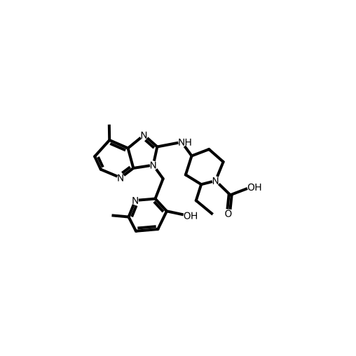 CCC1CC(Nc2nc3c(C)ccnc3n2Cc2nc(C)ccc2O)CCN1C(=O)O